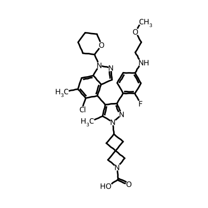 COCCNc1ccc(-c2nn(C3CC4(C3)CN(C(=O)O)C4)c(C)c2-c2c(Cl)c(C)cc3c2cnn3C2CCCCO2)c(F)c1